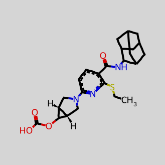 CCSc1nc(N2C[C@@H]3C(OC(=O)O)[C@@H]3C2)ccc1C(=O)NC1C2CC3CC(C2)CC1C3